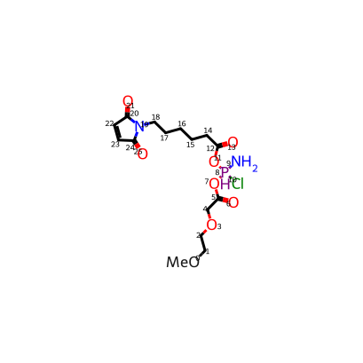 COCCOCC(=O)O[PH](N)(Cl)OC(=O)CCCCCN1C(=O)C=CC1=O